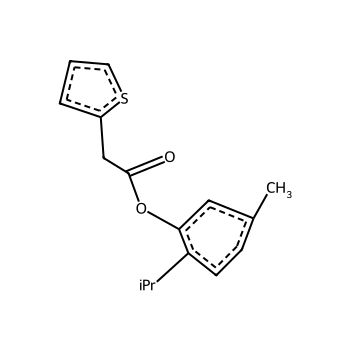 Cc1ccc(C(C)C)c(OC(=O)Cc2cccs2)c1